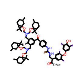 COC(=O)C(CNC(=S)Nc1ccc(C(=O)c2cc(CN(COC34CC(C)CCC3C4(C)C)COC34CC(C)CCC3C4(C)C)c(OC)c(CN(COC34CC(C)CCC3C4(C)C)COC34CC(C)CCC3C4(C)C)c2)cc1)c1cc(I)c(Oc2cc(I)c(O)c(I)c2)c(I)c1